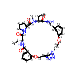 CC(C)C[C@H]1NC(=O)c2ccccc2OCc2cn(nn2)CCOc2cccc(c2)CNC(=O)[C@H](CC(C)C)N(C)C(=O)[C@H]2CCCN2C1=O